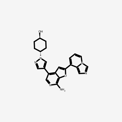 Nc1ncc(-c2cnn([C@H]3CC[C@H](O)CC3)c2)c2cc(-c3cccn4cncc34)oc12